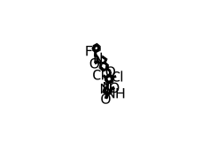 O=C1C2C=CC(Oc3c(Cl)cc(-n4ncc(=O)[nH]c4=O)cc3Cl)=CC2CCN1Cc1ccccc1F